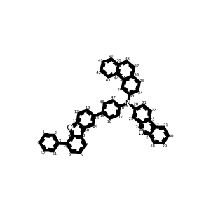 c1ccc(-c2cccc3c2oc2ccc(-c4ccc(N(c5ccc6c(c5)oc5ccccc56)c5ccc6ccc7ccccc7c6c5)cc4)cc23)cc1